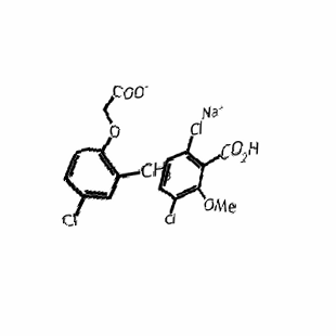 COc1c(Cl)ccc(Cl)c1C(=O)O.Cc1cc(Cl)ccc1OCC(=O)[O-].[Na+]